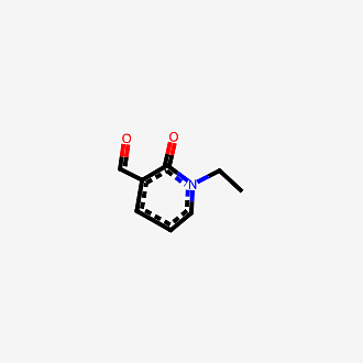 CCn1cccc(C=O)c1=O